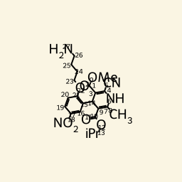 COC(=O)C1=C(C#N)NC(C)=C(C(=O)OC(C)C)C1c1cc([N+](=O)[O-])ccc1OCCCCN